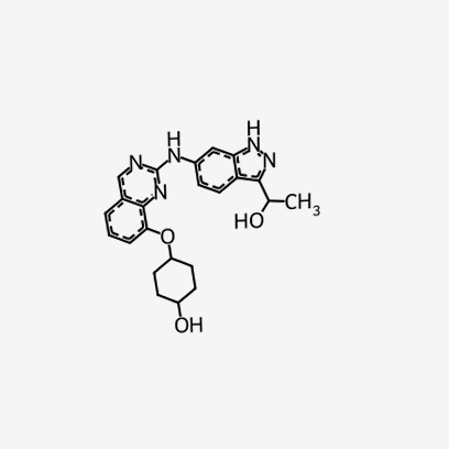 CC(O)c1n[nH]c2cc(Nc3ncc4cccc(OC5CCC(O)CC5)c4n3)ccc12